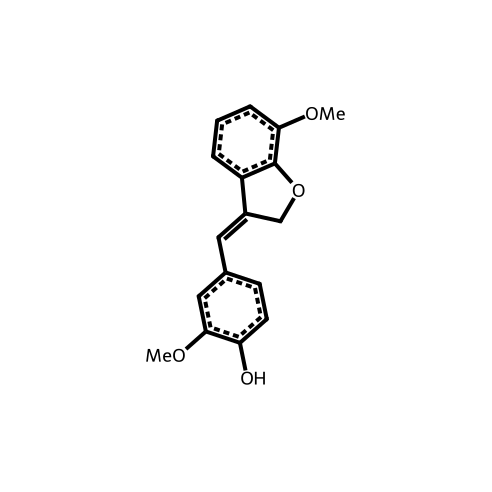 COc1cc(C=C2COc3c(OC)cccc32)ccc1O